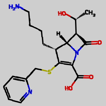 C[C@@H](O)[C@H]1C(=O)N2C(C(=O)O)=C(SCc3ccccn3)[C@H](CCCCN)[C@H]12